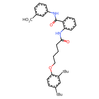 CC(C)(C)c1ccc(OCCCCC(=O)Nc2ccccc2C(=O)Nc2cccc(C(=O)O)c2)c(C(C)(C)C)c1